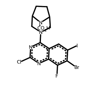 O=C(O)N1C2CCC1CN(c1nc(Cl)nc3c(F)c(Br)c(I)cc13)C2